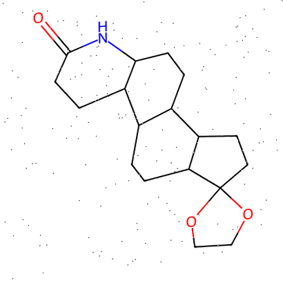 O=C1CCC2C(CCC3C2CCC2C3CCC23OCCO3)N1